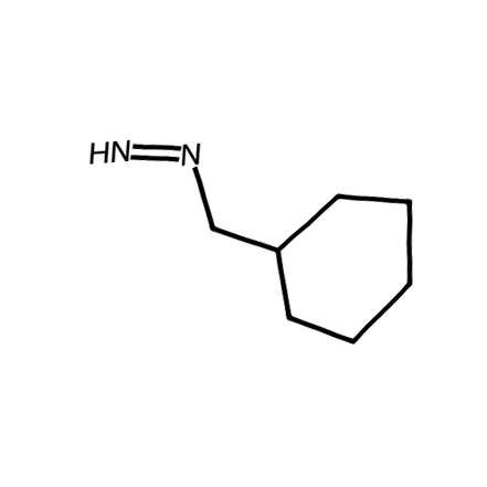 N=NCC1CCCCC1